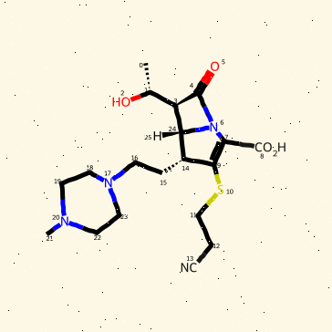 C[C@@H](O)[C@H]1C(=O)N2C(C(=O)O)=C(SCCC#N)[C@H](CCN3CCN(C)CC3)[C@H]12